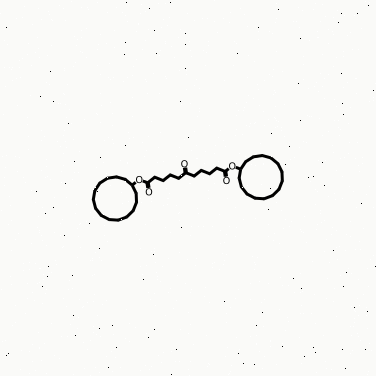 O=C(CCCCC(=O)OC1CCCCCCCCCCCCCC1)CCCCC(=O)OC1CCCCCCCCCCCCCC1